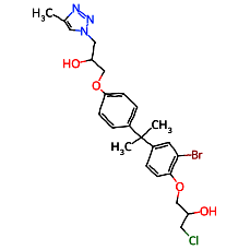 Cc1cn(CC(O)COc2ccc(C(C)(C)c3ccc(OCC(O)CCl)c(Br)c3)cc2)nn1